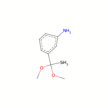 COC([SiH3])(OC)c1cccc(N)c1